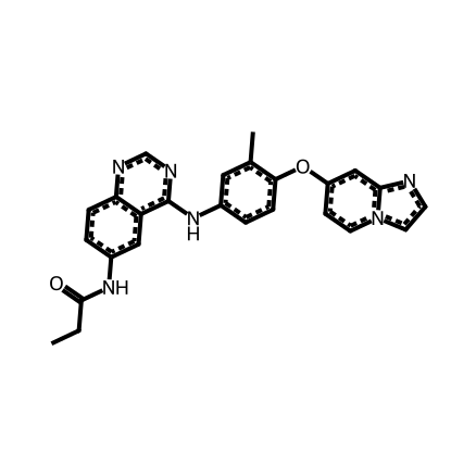 CCC(=O)Nc1ccc2ncnc(Nc3ccc(Oc4ccn5ccnc5c4)c(C)c3)c2c1